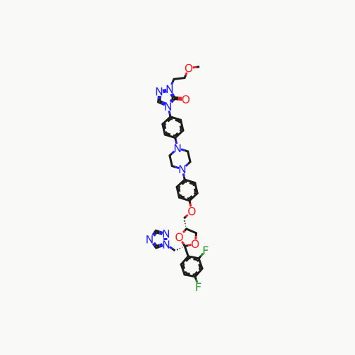 COCCn1ncn(-c2ccc(N3CCN(c4ccc(OC[C@@H]5CO[C@@](Cn6cncn6)(c6ccc(F)cc6F)O5)cc4)CC3)cc2)c1=O